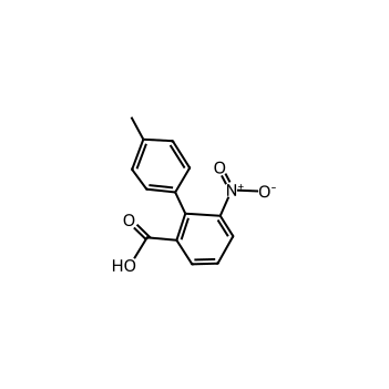 Cc1ccc(-c2c(C(=O)O)cccc2[N+](=O)[O-])cc1